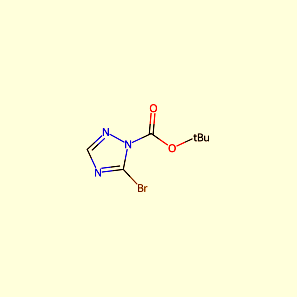 CC(C)(C)OC(=O)n1ncnc1Br